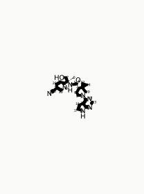 C[C@](CO)(NC(=O)[C@H]1CCN(c2ncnc3[nH]ccc23)CC12CC2)c1ccc(C#N)cn1